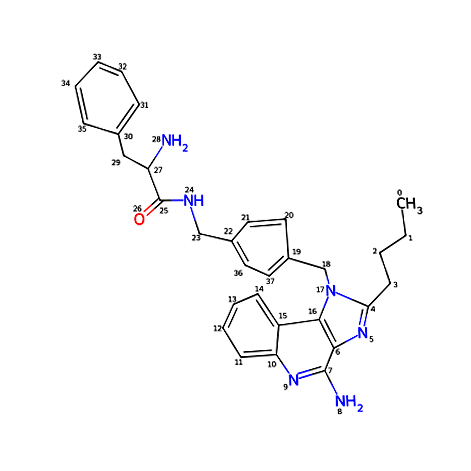 CCCCc1nc2c(N)nc3ccccc3c2n1Cc1ccc(CNC(=O)C(N)Cc2ccccc2)cc1